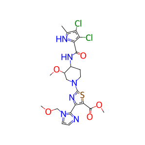 COCn1ccnc1-c1nc(N2CCC(NC(=O)c3[nH]c(C)c(Cl)c3Cl)C(OC)C2)sc1C(=O)OC